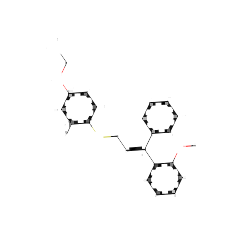 CCOc1ccccc1C(=CCSc1ccc(OCC(=O)O)cc1C)c1ccccc1